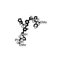 COC(=O)N[C@H](C(=O)N1CCC[C@H]1c1ncc(-c2cc(C)c3c(c2)OC(c2cc4c(s2)CCC4)n2c-3cc3cc(-c4cnc([C@@H]5CCCN5C(=O)[C@@H](NC(=O)OC)C5CCOCC5)[nH]4)ccc32)[nH]1)C(C)C